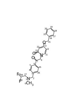 CN(Cc1ccc(C(=O)Cn2ccc(OCc3ccccc3)cc2=O)cc1)CC(F)F